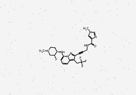 CN1CC[C@@H](Nc2cccc3c(CC(F)(F)F)c(C#CCNC(=O)c4cn(C)cn4)nn23)[C@@H](F)C1